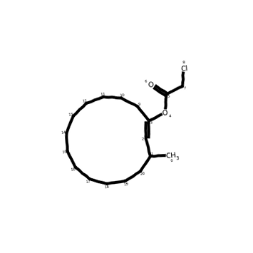 CC1/C=C(\OC(=O)CCl)CCCCCCCCCCCC1